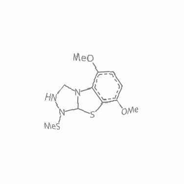 COc1ccc(OC)c2c1SC1N(SC)NCN21